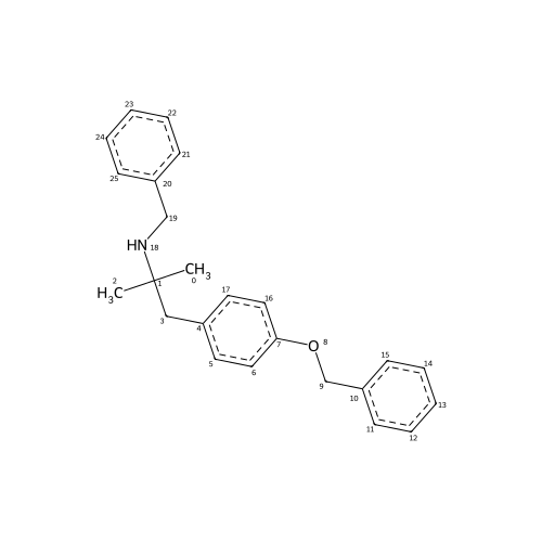 CC(C)(Cc1ccc(OCc2ccccc2)cc1)NCc1ccccc1